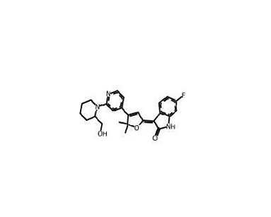 CC1(C)OC(=C2C(=O)Nc3cc(F)ccc32)C=C1c1ccnc(N2CCCCC2CO)c1